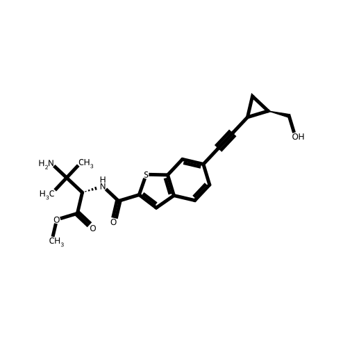 COC(=O)[C@@H](NC(=O)c1cc2ccc(C#CC3C[C@H]3CO)cc2s1)C(C)(C)N